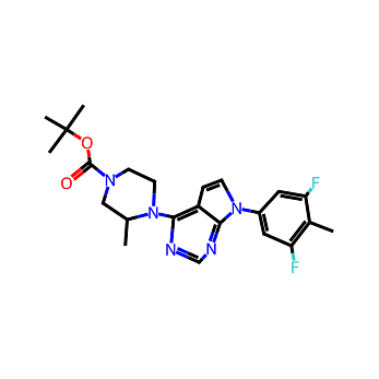 Cc1c(F)cc(-n2ccc3c(N4CCN(C(=O)OC(C)(C)C)CC4C)ncnc32)cc1F